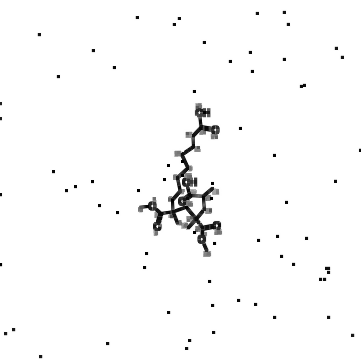 COC(=O)C(C)(CCCCCCCC(=O)O)CC(C)(CC(C)C(=O)O)C(=O)OC